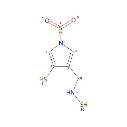 O=[SH](=O)n1cc(S)c(CNS)c1